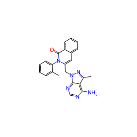 Cc1ccccc1-n1c(Cn2nc(C)c3c(N)ncnc32)cc2ccccc2c1=O